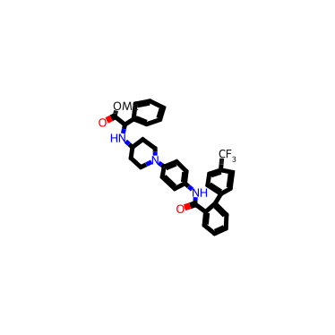 COC(=O)C(NC1CCN(c2ccc(NC(=O)c3ccccc3-c3ccc(C(F)(F)F)cc3)cc2)CC1)c1ccccc1